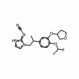 CC(Cn1cc[nH]c1=NC#N)c1ccc(OC(F)F)c(OC2CCOC2)c1